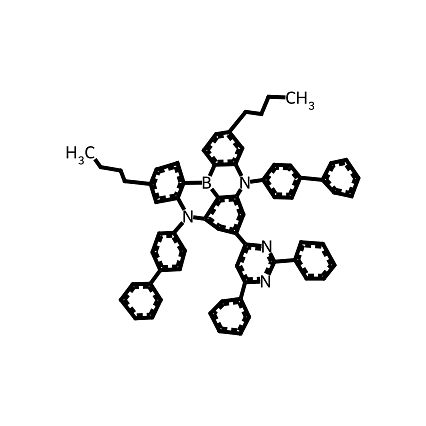 CCCCc1ccc2c(c1)N(c1ccc(-c3ccccc3)cc1)c1cc(-c3cc(-c4ccccc4)nc(-c4ccccc4)n3)cc3c1B2c1ccc(CCCC)cc1N3c1ccc(-c2ccccc2)cc1